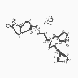 Cl.Cl.Cl.Cn1c(=O)ccc2cc(OCCCN(CCc3ccncc3)Cc3ccncc3)ccc21